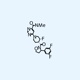 CNC(=O)c1cc(N2CC[C@@H](C(=O)N3OCCC3c3cc(F)cc(F)c3)[C@@H](F)C2)ncn1